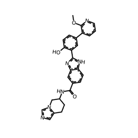 COc1ncccc1-c1ccc(O)c(-c2nc3cc(C(=O)NC4CCc5cncn5C4)ccc3[nH]2)c1